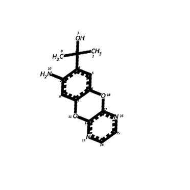 CC(C)(O)c1cc2c(cc1N)Oc1nccnc1O2